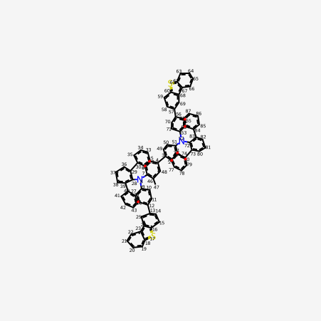 Cc1cc(-c2ccc(N(c3ccc(-c4ccc5sc6ccccc6c5c4)cc3)c3c(-c4ccccc4)cccc3-c3ccccc3)c(C)c2)ccc1N(c1ccc(-c2ccc3sc4ccccc4c3c2)cc1)c1c(-c2ccccc2)cccc1-c1ccccc1